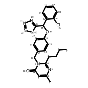 CCCCc1nc(C)cc(=O)n1Cc1ccc(OC(c2nnn[nH]2)c2ccccc2Cl)cc1